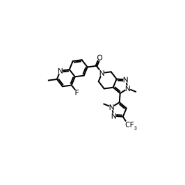 Cc1cc(F)c2cc(C(=O)N3CCc4c(nn(C)c4-c4cc(C(F)(F)F)nn4C)C3)ccc2n1